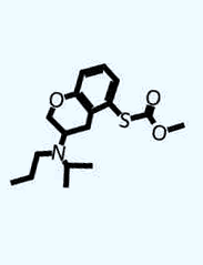 CCCN(C(C)C)C1COc2cccc(SC(=O)OC)c2C1